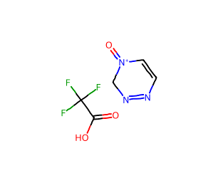 O=C(O)C(F)(F)F.O=[N+]1C=CN=NC1